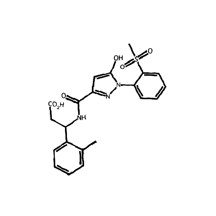 Cc1ccccc1C(CC(=O)O)NC(=O)c1cc(O)n(-c2ccccc2S(C)(=O)=O)n1